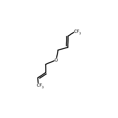 FC(F)(F)C=CCOCC=CC(F)(F)F